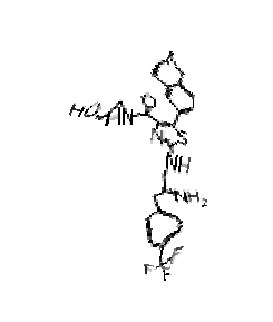 N[C@H](CNc1nc(C(=O)NCCO)c(-c2ccc3cnccc3c2)s1)Cc1ccc(C(F)(F)F)cc1